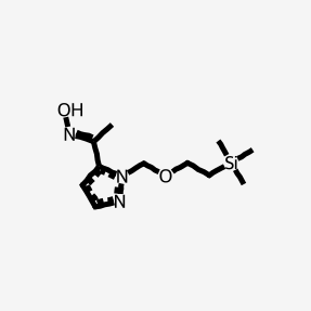 CC(=NO)c1ccnn1COCC[Si](C)(C)C